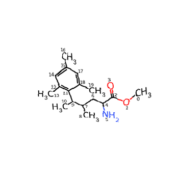 COC(=O)C(N)CC(C)C(C)c1c(C)cc(C)cc1C